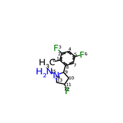 Cc1c(F)cc(F)cc1C1CC(F)CN1N